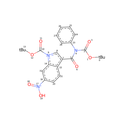 CC(C)(C)OC(=O)N(C(=O)c1cn(C(=O)OC(C)(C)C)c2cc([N+](=O)O)ccc12)c1ccccc1